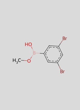 COB(O)c1cc(Br)cc(Br)c1